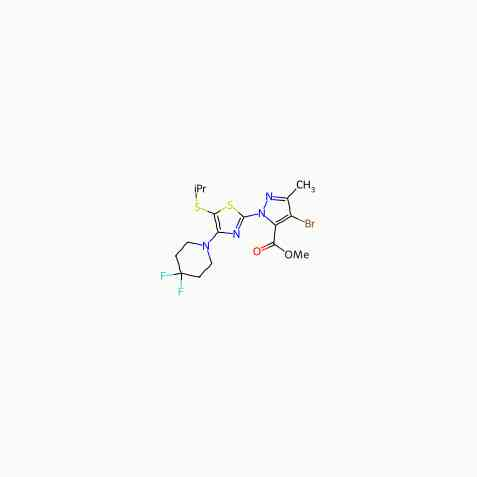 COC(=O)c1c(Br)c(C)nn1-c1nc(N2CCC(F)(F)CC2)c(SC(C)C)s1